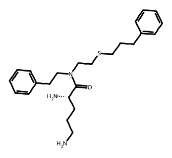 NCCC[C@H](N)C(=O)N(CCSCCCc1ccccc1)CCc1ccccc1